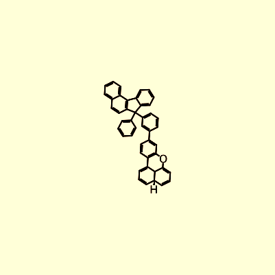 C1=C[C@@H]2C=CC=C3c4ccc(-c5cccc(C6(c7ccccc7)c7ccccc7-c7c6ccc6ccccc76)c5)cc4OC(=C1)C32